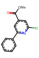 COC(=O)c1cc(Cl)nc(-c2ccccc2)c1